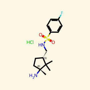 CC1(C)[C@@H](CNS(=O)(=O)c2ccc(F)cc2)CC[C@@]1(C)N.Cl